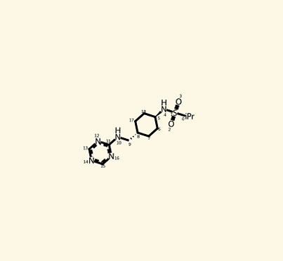 CC(C)S(=O)(=O)N[C@H]1CC[C@H](CNc2ncncn2)CC1